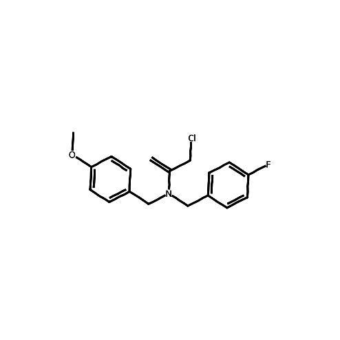 C=C(CCl)N(Cc1ccc(F)cc1)Cc1ccc(OC)cc1